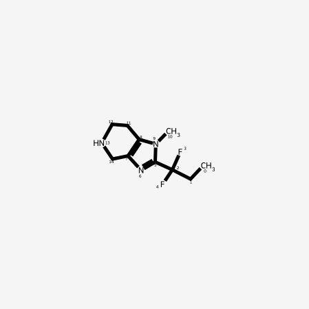 CCC(F)(F)c1nc2c(n1C)CCNC2